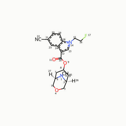 CN1[C@@H]2COC[C@H]1CC(OC(=O)c1cn(CCF)c3ccc(C#N)cc13)C2